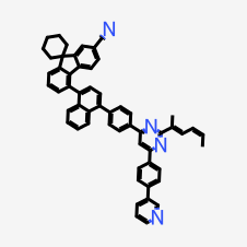 C/C=C\C=C(/C)c1nc(-c2ccc(-c3cccnc3)cc2)cc(-c2ccc(-c3ccc(-c4cccc5c4-c4ccc(C#N)cc4C54CCCCC4)c4ccccc34)cc2)n1